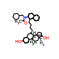 CC(=O)N(CC1CCCCC1)c1ccc2ccccc2c1CCCC[C@@H]1Cc2cc(O)ccc2[C@@H]2[C@@H]1[C@@H]1CC[C@H](O)[C@@]1(C)C[C@@H]2F